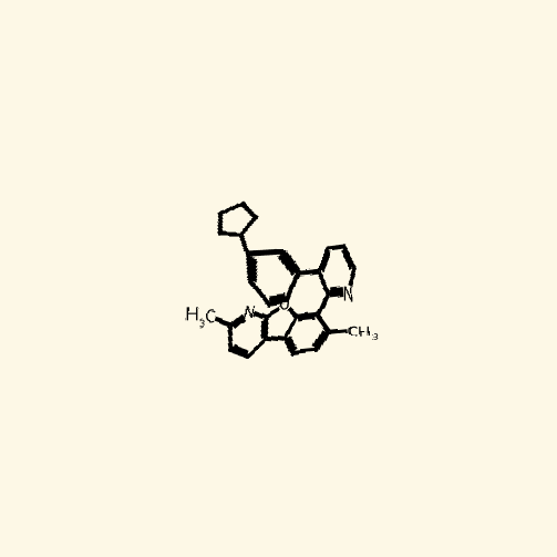 Cc1ccc2c(n1)oc1c(-c3ncccc3-c3cccc(C4CCCC4)c3)c(C)ccc12